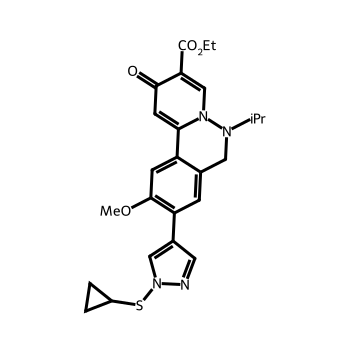 CCOC(=O)c1cn2c(cc1=O)-c1cc(OC)c(-c3cnn(SC4CC4)c3)cc1CN2C(C)C